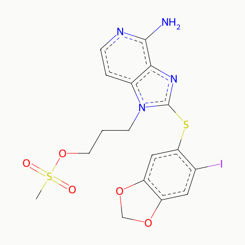 CS(=O)(=O)OCCCn1c(Sc2cc3c(cc2I)OCO3)nc2c(N)nccc21